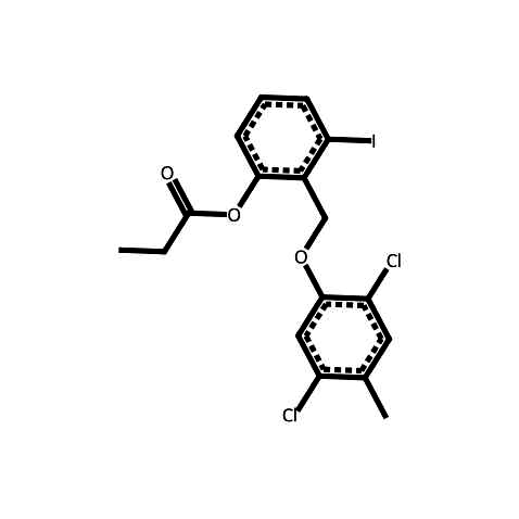 CCC(=O)Oc1cccc(I)c1COc1cc(Cl)c(C)cc1Cl